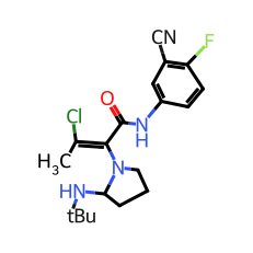 C/C(Cl)=C(/C(=O)Nc1ccc(F)c(C#N)c1)N1CCCC1NC(C)(C)C